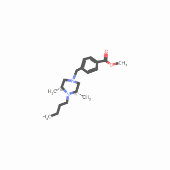 CCCCN1[C@H](C)CN(Cc2ccc(C(=O)OC)cc2)C[C@@H]1C